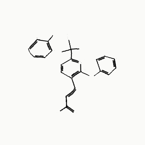 O=C(O)/C=C/c1ccc(C(F)(F)F)nc1Oc1ccccc1.Oc1ccccc1